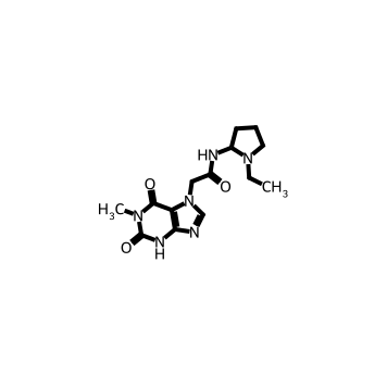 CCN1CCCC1NC(=O)Cn1cnc2[nH]c(=O)n(C)c(=O)c21